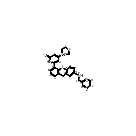 O=c1cc(N2CCOCC2)cc(-c2cccc3c2Sc2ccc(NCc4cnccn4)cc2C3)[nH]1